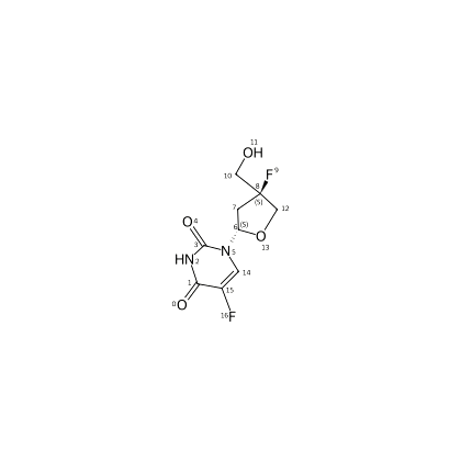 O=c1[nH]c(=O)n([C@@H]2C[C@](F)(CO)CO2)cc1F